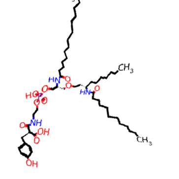 CCCCCCCCCCCCCC(=O)N[C@H](COCC[C@H](CCCCCCC)NC(=O)CCCCCCCCCCC)COP(=O)(O)OCCNC(=O)[C@H](Cc1ccc(O)cc1)C(=O)O